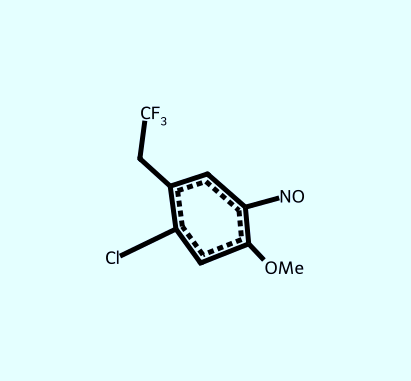 COc1cc(Cl)c(CC(F)(F)F)cc1N=O